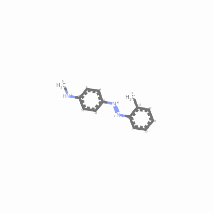 CNc1ccc(N=Nc2ccccc2C)cc1